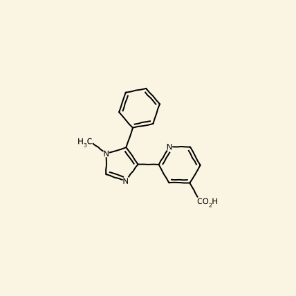 Cn1cnc(-c2cc(C(=O)O)ccn2)c1-c1ccccc1